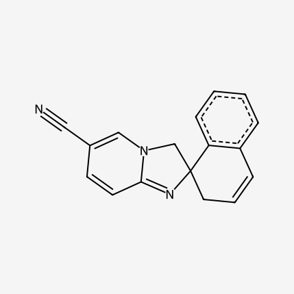 N#CC1=CN2CC3(CC=Cc4ccccc43)N=C2C=C1